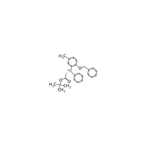 Cc1ccc(OCc2ccccc2)c([C@@H](CC(=O)OC(C)(C)C)c2ccccc2)c1